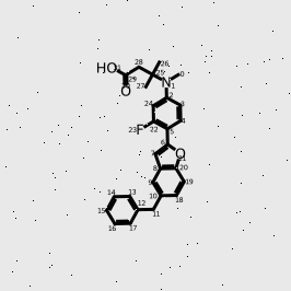 CN(c1ccc(-c2cc3cc(Cc4ccccc4)ccc3o2)c(F)c1)C(C)(C)CC(=O)O